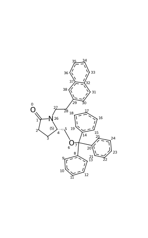 O=C1CC[C@@H](COC(c2ccccc2)(c2ccccc2)c2ccccc2)N1CCc1ccc2ccccc2c1